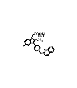 Cc1c(C2=CCN(Cc3ccc4ccccc4n3)CC2)c2cc(F)ccc2n1CC(=O)O.Cl.Cl